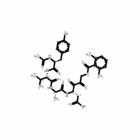 CC(=O)N[C@@H](Cc1ccc(O)cc1)C(=O)N[C@H](C(=O)N[C@@H](C)C(=O)N[C@@H](CC(=O)O)C(=O)C(=O)COC(=O)c1c(C)cccc1C)C(C)C